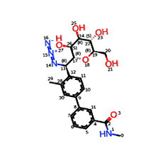 CNC(=O)c1cccc(-c2ccc([C@@H](N=[N+]=[N-])[C@H]3O[C@H](CO)[C@@H](O)[C@H](O)[C@@H]3O)c(C)c2)c1